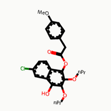 CCCOc1c(OCCC)c(OC(=O)Cc2ccc(OC)cc2)c2ccc(Cl)cc2c1O